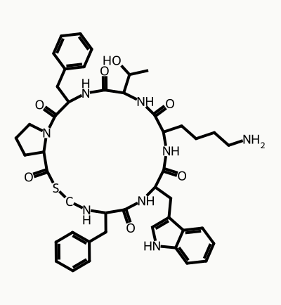 CC(O)C1NC(=O)C(CCCCN)NC(=O)C(Cc2c[nH]c3ccccc23)NC(=O)C(Cc2ccccc2)NCSC(=O)C2CCCN2C(=O)C(Cc2ccccc2)NC1=O